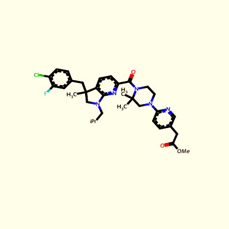 COC(=O)Cc1ccc(N2CCN(C(=O)c3ccc4c(n3)N(CC(C)C)CC4(C)Cc3ccc(Cl)c(F)c3)C(C)(C)C2)nc1